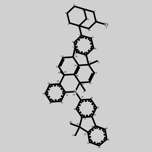 CCC1CC2CCCC(c3ccc(C4(C)C=CC5(C)C6=C4C(C)C=CC6(C)c4ccccc4N5c4ccc5c(c4)C(C)(C)c4ccccc4-5)cc3)(C1)C2